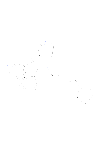 O=C(CCCc1ccccc1)N[C@H](c1ccccc1)C(O)(c1cccnc1)c1cccnc1